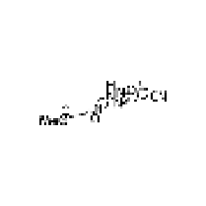 COC(=O)CCCCC(=O)N1CCC(Nc2nccc(Oc3c(C)cc(C#N)cc3C)n2)CC1